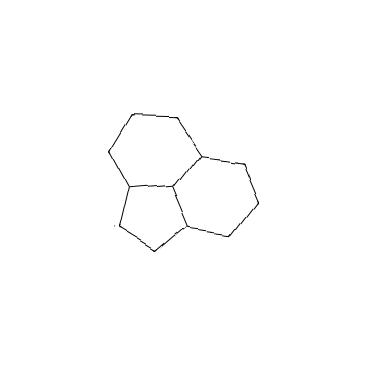 [CH]1CC2CCCC3CCCC1C23